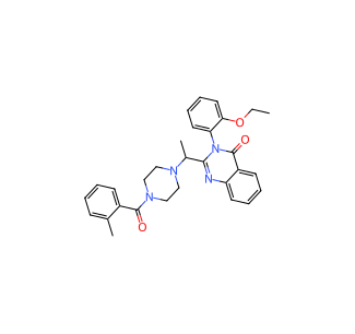 CCOc1ccccc1-n1c(C(C)N2CCN(C(=O)c3ccccc3C)CC2)nc2ccccc2c1=O